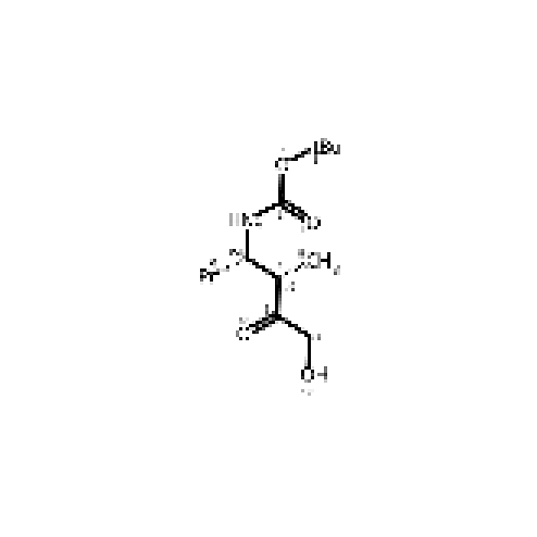 CC(C)[C@H](NC(=O)OC(C)(C)C)[C@H](C)C(=O)CO